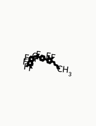 C/C=C/CCc1ccc(-c2ccc(C(F)(F)Oc3cc(F)c4c(F)c(F)c(F)cc4c3)cc2)c(F)c1F